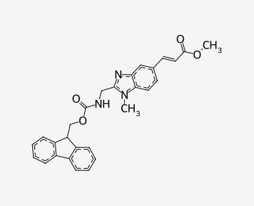 COC(=O)C=Cc1ccc2c(c1)nc(CNC(=O)OCC1c3ccccc3-c3ccccc31)n2C